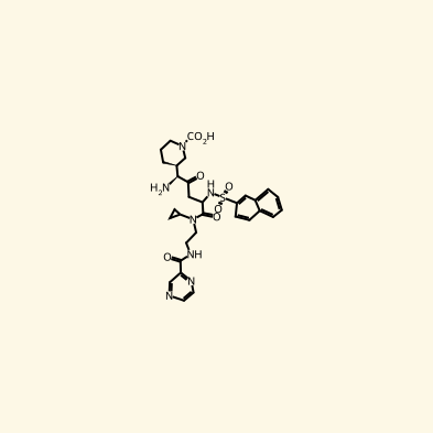 N[C@H](C(=O)CC(NS(=O)(=O)c1ccc2ccccc2c1)C(=O)N(CCNC(=O)c1cnccn1)C1CC1)[C@H]1CCCN(C(=O)O)C1